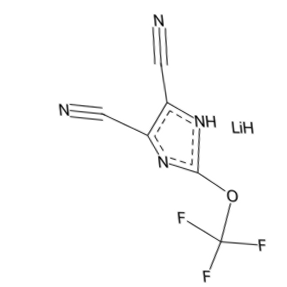 N#Cc1nc(OC(F)(F)F)[nH]c1C#N.[LiH]